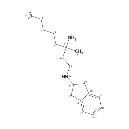 BCCCCC(C)(N)CCNC1Cc2ccccc2C1